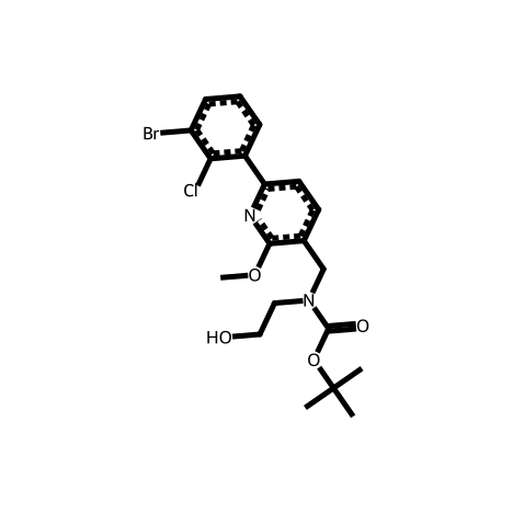 COc1nc(-c2cccc(Br)c2Cl)ccc1CN(CCO)C(=O)OC(C)(C)C